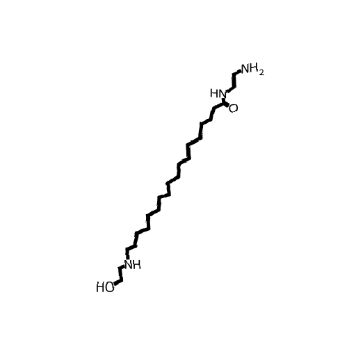 NCCNC(=O)CCCCCCCCCCCCCCCCCNCCO